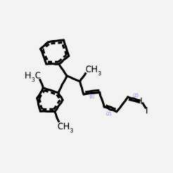 Cc1ccc(C)c(C(c2ccccc2)C(C)/C=C/C=C\C=I/I)c1